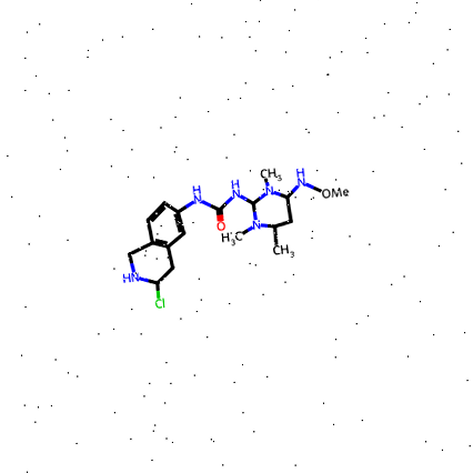 CONC1CC(C)N(C)C(NC(=O)Nc2ccc3c(c2)CC(Cl)NC3)N1C